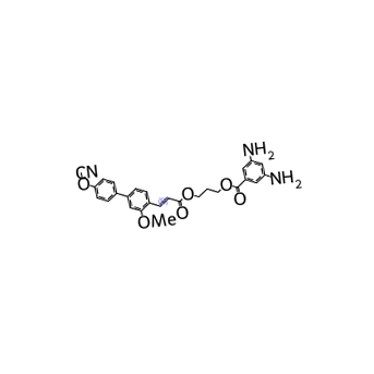 COc1cc(-c2ccc(OC#N)cc2)ccc1/C=C/C(=O)OCCCOC(=O)c1cc(N)cc(N)c1